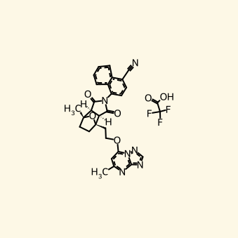 Cc1cc(OCC[C@@]23CC[C@@](C)(O2)[C@H]2C(=O)N(c4ccc(C#N)c5ccccc45)C(=O)[C@H]23)n2ncnc2n1.O=C(O)C(F)(F)F